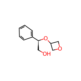 OC[C@H](OC1COC1)c1ccccc1